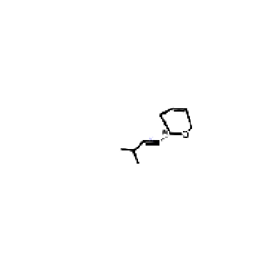 CC(C)/C=C/[C@@H]1CC=CCO1